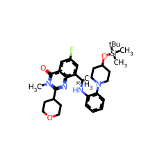 C[C@@H](Nc1ccccc1N1CCC(O[Si](C)(C)C(C)(C)C)CC1)c1cc(F)cc2c(=O)n(C)c(C3CCOCC3)nc12